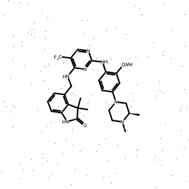 COc1cc(N2CCN(C)[C@H](C)C2)ccc1Nc1ncc(C(F)(F)F)c(NCc2cccc3c2C(C)(C)C(=O)N3)n1